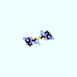 NC(CSSCC(N)C(=O)N1CCCC12CCNCC2)C(=O)N1CCCC12CCNCC2